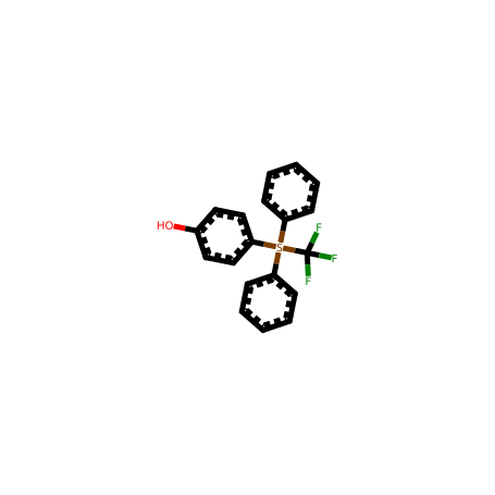 Oc1ccc(S(c2ccccc2)(c2ccccc2)C(F)(F)F)cc1